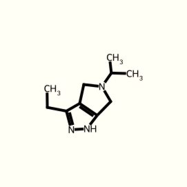 CCc1n[nH]c2c1CN(C(C)C)C2